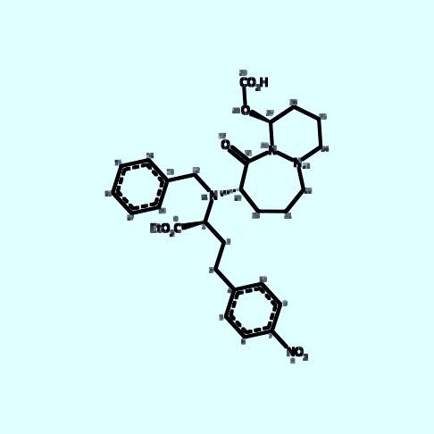 CCOC(=O)[C@H](CCc1ccc([N+](=O)[O-])cc1)N(Cc1ccccc1)[C@H]1CCCN2CCC[C@H](OC(=O)O)N2C1=O